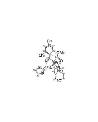 COC(=O)C1=C(CN2C3COCC2CN(C(C)C)C3)NC(c2nccs2)=NC1c1ccc(F)cc1Cl